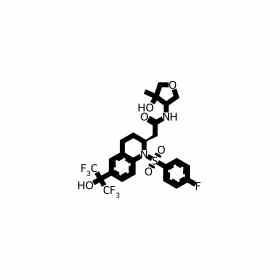 CC1(O)COCC1NC(=O)C[C@@H]1CCc2cc(C(O)(C(F)(F)F)C(F)(F)F)ccc2N1S(=O)(=O)c1ccc(F)cc1